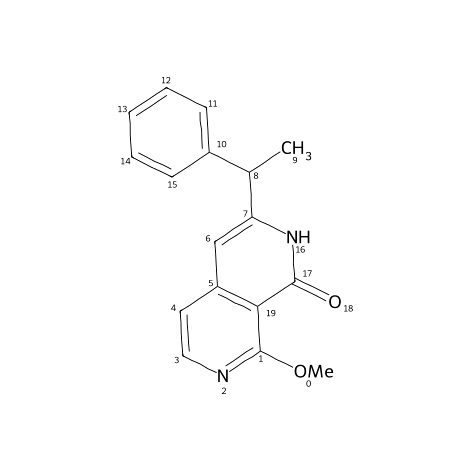 COc1nccc2cc(C(C)c3ccccc3)[nH]c(=O)c12